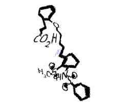 CS(=O)(=O)c1c(/C=C/CCCOc2ccccc2CCC(=O)O)cccc1NS(=O)(=O)c1ccccc1